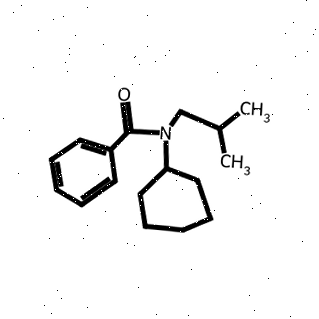 CC(C)CN(C(=O)c1ccccc1)C1CCCCC1